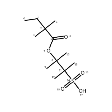 CCC(C)(C)C(=O)OC(C)(C)C(C)(C)S(=O)(=O)O